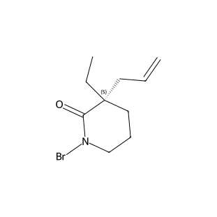 C=CC[C@]1(CC)CCCN(Br)C1=O